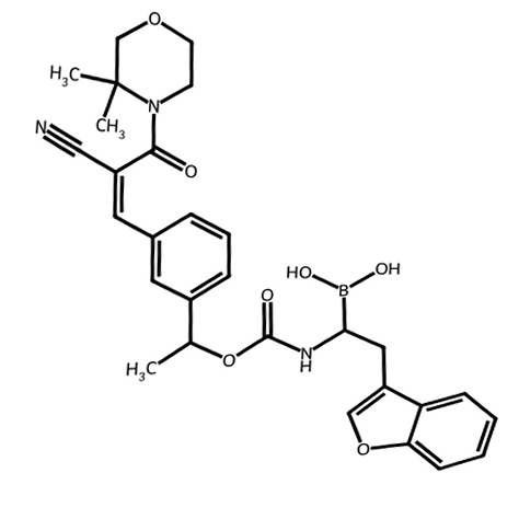 CC(OC(=O)NC(Cc1coc2ccccc12)B(O)O)c1cccc(C=C(C#N)C(=O)N2CCOCC2(C)C)c1